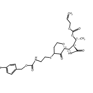 C=CCOC(=O)O[C@H](C)[C@H]1C(=O)N[C@@H]1[C@H]1OCCC(SCCNC(=O)OCc2ccc([N+](=O)[O-])cc2)C1=O